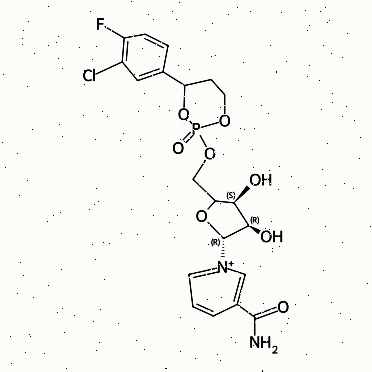 NC(=O)c1ccc[n+]([C@@H]2OC(COP3(=O)OCCC(c4ccc(F)c(Cl)c4)O3)[C@@H](O)[C@H]2O)c1